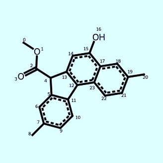 COC(=O)C1c2cc(C)ccc2-c2c1cc(O)c1cc(C)ccc21